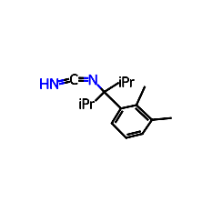 Cc1cccc(C(N=C=N)(C(C)C)C(C)C)c1C